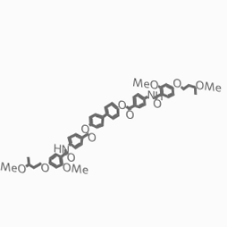 COc1cc(OCCC(C)OC)ccc1C(=O)Nc1ccc(C(=O)Oc2ccc(-c3ccc(OC(=O)c4ccc(NC(=O)c5ccc(OCCC(C)OC)cc5OC)cc4)cc3)cc2)cc1